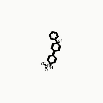 [2H]C1(c2ccccc2)C=CC(=C2C=CC([2H])([N+](=O)[O-])C=C2)C=C1